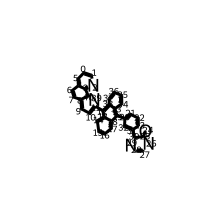 c1cnc2c(c1)ccc1ccc(-c3c4ccccc4c(-c4ccc5oc6nccnc6c5c4)c4ccccc34)nc12